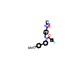 COc1ccc(-c2cccc(N(CC34CCC(c5nc(C(C)C)no5)(CC3)CC4)C(=O)C34CC(F)(C3)C4)c2)cc1